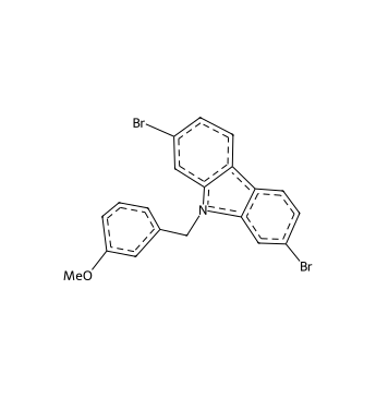 COc1cccc(Cn2c3cc(Br)ccc3c3ccc(Br)cc32)c1